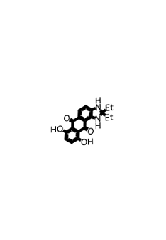 CCC1(CC)Nc2ccc3c(c2N1)C(=O)c1c(O)ccc(O)c1C3=O